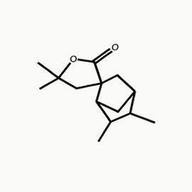 CC1C2CC(C1C)C1(C2)CC(C)(C)OC1=O